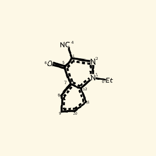 CCn1nc(C#N)c(=O)c2ccccc21